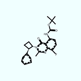 Cc1nc2c(F)ccc(NC(=O)OC(C)(C)C)c2c(=O)n1[C@H]1CC[C@@H]1c1ccccc1